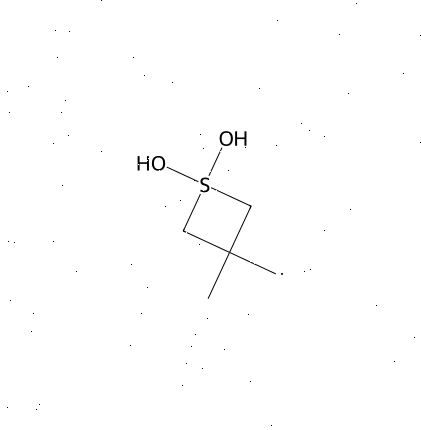 [CH2]C1(C)CS(O)(O)C1